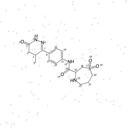 CC1CC(=O)NN=C1c1ccc(NC(=O)C2CS(=O)(=O)CCCN2)cc1